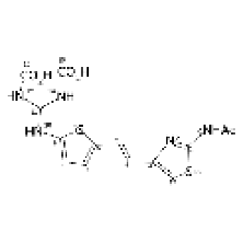 CC(=O)Nc1nc(/C=C/c2ccc(NC(NC(=O)O)NC(=O)O)s2)cs1